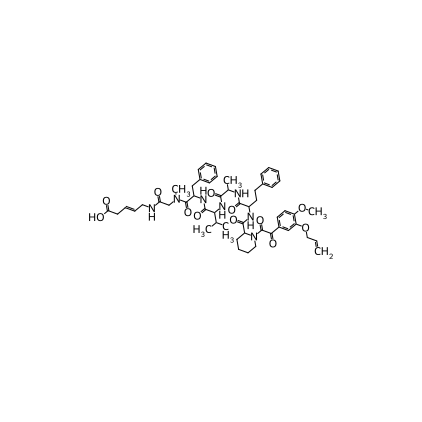 C=CCOc1cc(C(=O)C(=O)N2CCCCC2C(=O)NC(CCc2ccccc2)C(=O)NC(C)C(=O)NC(C(=O)NC(Cc2ccccc2)C(=O)N(C)CC(=O)NC/C=C/CC(=O)O)C(C)C)ccc1OC